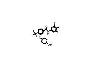 O=C(Nc1cc(F)c(F)c(F)c1)c1ccc(C(F)(F)F)c(SC2CCC(O)CC2)c1